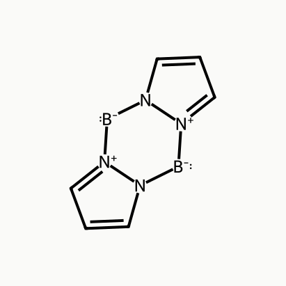 [B-]1n2ccc[n+]2[B-]n2ccc[n+]21